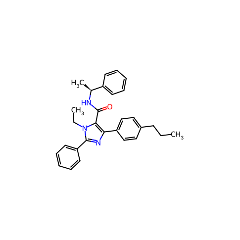 CCCc1ccc(-c2nc(-c3ccccc3)n(CC)c2C(=O)N[C@@H](C)c2ccccc2)cc1